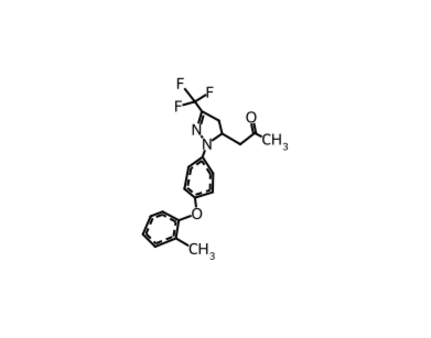 CC(=O)CC1CC(C(F)(F)F)=NN1c1ccc(Oc2ccccc2C)cc1